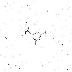 Cc1cc(N(C)C)cc(N(C)C)c1